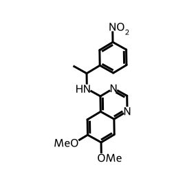 COc1cc2ncnc(NC(C)c3cccc([N+](=O)[O-])c3)c2cc1OC